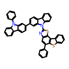 c1ccc(-c2cc3nc(-n4c5ccccc5c5ccc(-c6ccc7c8ccccc8n(-c8ccccc8)c7c6)cc54)sc3c3c2sc2ccccc23)cc1